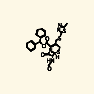 Cc1nnc(SCC2=C(C(=O)OC(c3ccccc3)c3ccccc3)N3C(=O)[C@@H](NC=O)[C@H]3SC2)s1